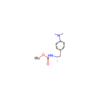 C[C@@H](Cc1ccc(N(C)C)cc1)NC(=O)OC(C)(C)C